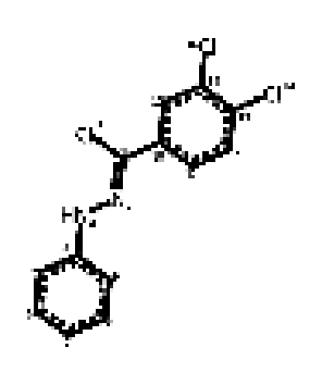 ClC(=NNc1ccccc1)c1ccc(Cl)c(Cl)c1